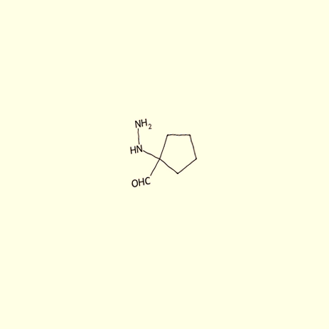 NNC1(C=O)CCCC1